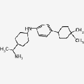 CC(N)C1CCC(Nc2ccc(C3CCC(C)(C)CC3)cc2)CC1